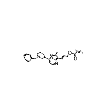 Cc1nn2c(C3CCCN(Cc4ccccc4)C3)ccnc2c1C=CCOC(N)=O